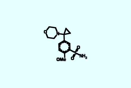 COc1ccc(C2(N3CCOCC3)CC2)cc1S(N)(=O)=O